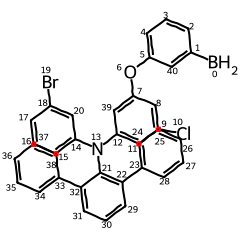 Bc1cccc(Oc2cc(Cl)cc(N(c3cccc(Br)c3)c3c(-c4ccccc4)cccc3-c3ccccc3)c2)c1